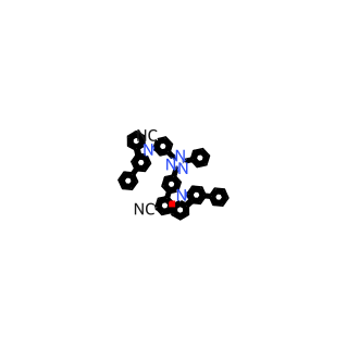 N#Cc1cccc(-c2ccc(-c3nc(-c4ccccc4)nc(-c4ccc(C#N)c(-n5c6ccccc6c6cc(-c7ccccc7)ccc65)c4)n3)cc2-n2c3ccccc3c3cc(-c4ccccc4)ccc32)c1